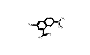 C=C(C)c1cc(N)cc2c1CC(N(C)C)CC2